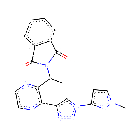 CC(c1nccnc1-c1cn(-c2ccn(C)n2)nn1)N1C(=O)c2ccccc2C1=O